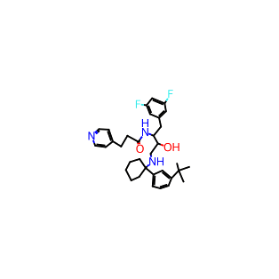 CC(C)(C)c1cccc(C2(NCC(O)C(Cc3cc(F)cc(F)c3)NC(=O)CCc3ccncc3)CCCCC2)c1